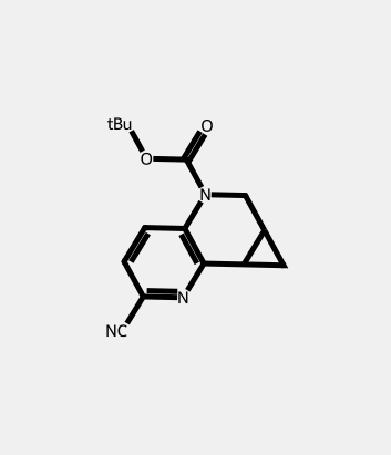 CC(C)(C)OC(=O)N1CC2CC2c2nc(C#N)ccc21